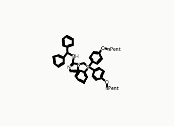 CCCCCOc1ccc([Si](Cn2ccnc2BC(c2ccccc2)c2ccccc2)(c2ccccc2)c2ccc(OCCCCC)cc2)cc1